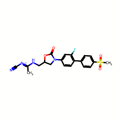 C/C(=N\C#N)NCC1CN(c2ccc(-c3ccc(S(C)(=O)=O)cc3)c(F)c2)C(=O)O1